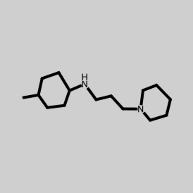 CC1CCC(NCCCN2CCCCC2)CC1